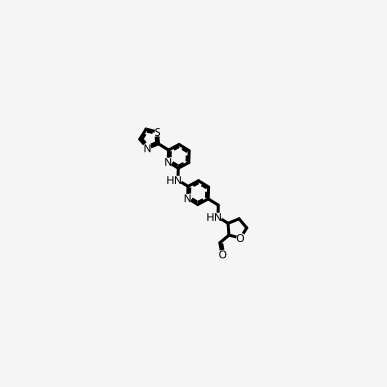 O=CC1OCCC1NCc1ccc(Nc2cccc(-c3nccs3)n2)nc1